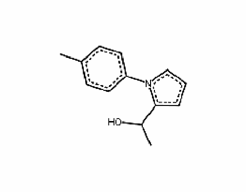 Cc1ccc(-n2cccc2C(C)O)cc1